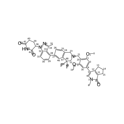 COc1cc(-c2cn(C)c(=O)c3c2CCC3)cc(OC)c1CN1Cc2ccc(-c3cccc4c3c(C)nn4C3CCC(=O)NC3=O)cc2C(F)(F)C1